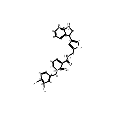 O=C(NCc1cc(C2CNc3ncccc32)cs1)c1cccn(Cc2ccc(F)c(F)c2)c1=O